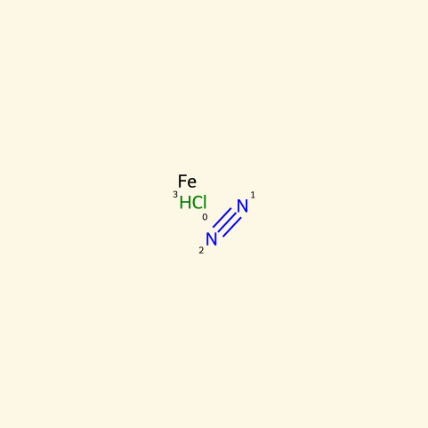 Cl.N#N.[Fe]